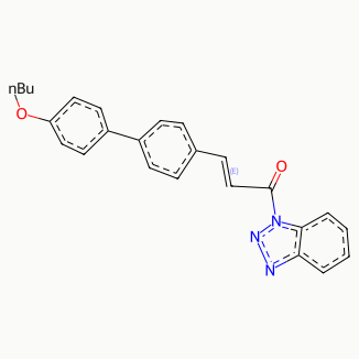 CCCCOc1ccc(-c2ccc(/C=C/C(=O)n3nnc4ccccc43)cc2)cc1